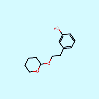 Oc1cccc(CCOC2CCCCO2)c1